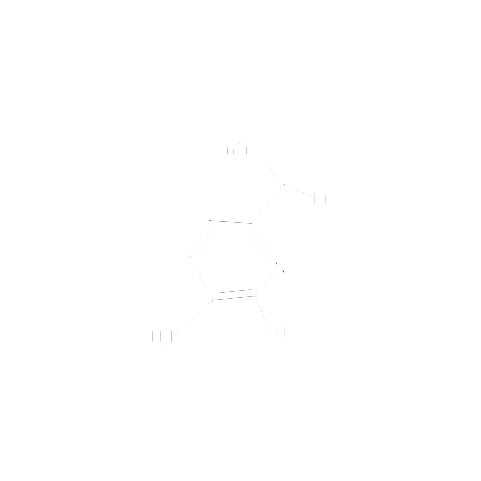 Bc1ccc(C(CC)CCC)nc1C